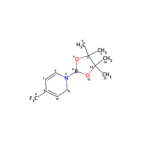 CC1(C)OB(N2C=CC(C(F)(F)F)=CC2)OC1(C)C